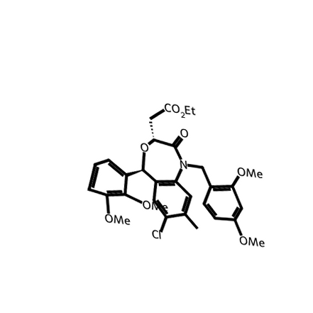 CCOC(=O)C[C@H]1O[C@H](c2cccc(OC)c2OC)c2cc(Cl)c(C)cc2N(Cc2ccc(OC)cc2OC)C1=O